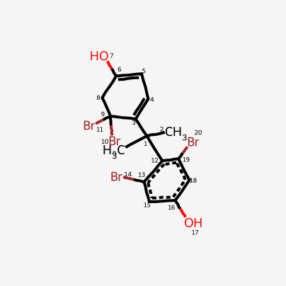 CC(C)(C1=CC=C(O)CC1(Br)Br)c1c(Br)cc(O)cc1Br